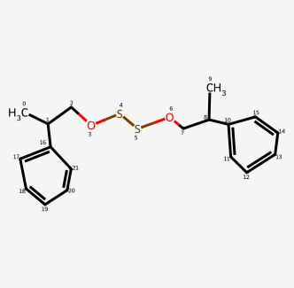 CC(COSSOCC(C)c1ccccc1)c1ccccc1